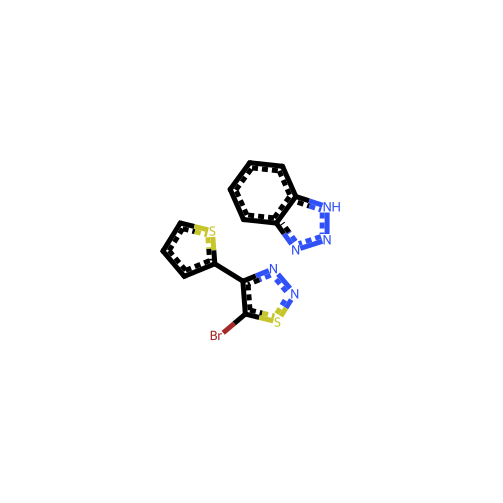 Brc1snnc1-c1cccs1.c1ccc2[nH]nnc2c1